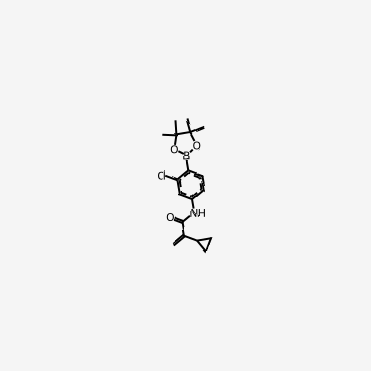 C=C(C(=O)Nc1ccc(B2OC(C)(C)C(C)(C)O2)c(Cl)c1)C1CC1